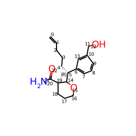 C=CCCC[C@H](c1cccc(CO)c1)C1OCCCC1C(N)=O